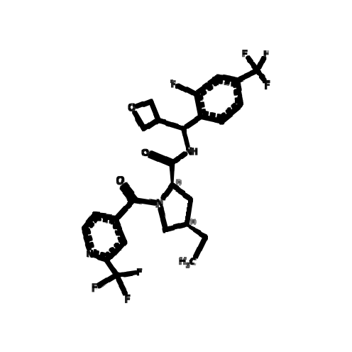 CC[C@@H]1C[C@H](C(=O)NC(c2ccc(C(F)(F)F)cc2F)C2COC2)N(C(=O)c2ccnc(C(F)(F)F)c2)C1